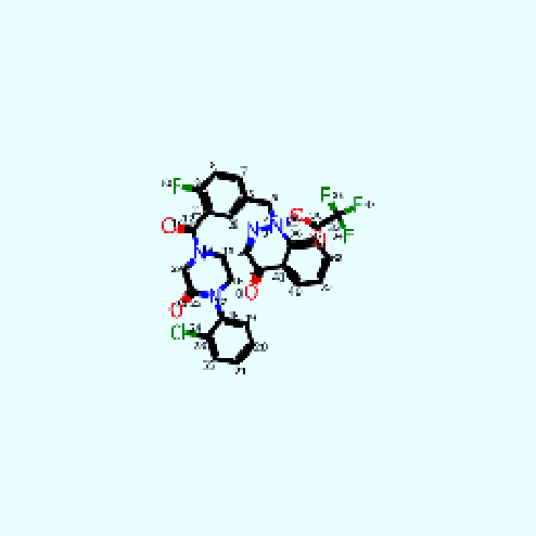 O=C1C=N[N+](Cc2ccc(F)c(C(=O)N3CCN(c4ccccc4Cl)C(=O)C3)c2)(OC(=O)C(F)(F)F)c2ccccc21